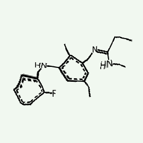 CCC(=Nc1cc(C)cc(Nc2ccccc2F)c1C)NC